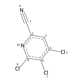 N#Cc1cc(Cl)c(Cl)c(Cl)n1